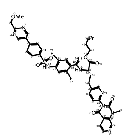 COCc1ncc(-c2ccc(S(=O)(=O)Nc3cc(F)c(C(=O)N[C@@H](CCc4ccc(-n5c(=O)c6ccncc6n(C)c5=O)nc4)C(=O)OCCC(C)C)cc3F)cc2)cn1